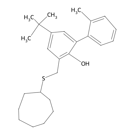 Cc1ccccc1-c1cc(C(C)(C)C)cc(CSC2CCCCCCC2)c1O